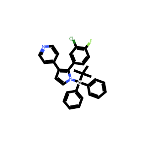 CC(C)(C)[Si](c1ccccc1)(c1ccccc1)n1ccc(-c2ccncc2)c1-c1ccc(F)c(Cl)c1